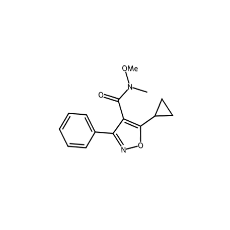 CON(C)C(=O)c1c(-c2ccccc2)noc1C1CC1